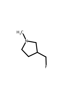 CN1CCC(CF)C1